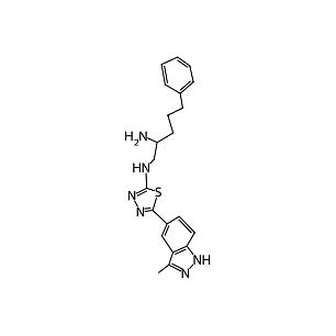 Cc1n[nH]c2ccc(-c3nnc(NCC(N)CCCc4ccccc4)s3)cc12